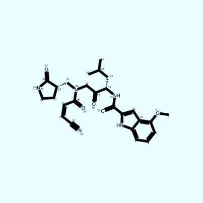 COc1cccc2[nH]c(C(=O)N[C@@H](CC(C)C)C(=O)CN(C[C@@H]3CCNC3=O)C(=O)/C=C\C#N)cc12